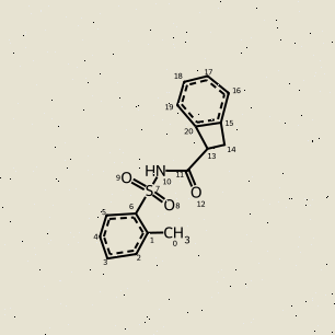 Cc1ccccc1S(=O)(=O)NC(=O)C1Cc2ccccc21